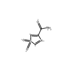 NC(=O)C1=CS(=O)(=O)C=N1